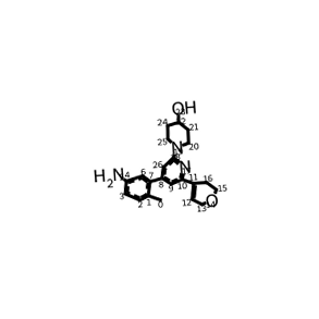 Cc1ccc(N)cc1-c1cc(C2=CCOCC2)nc(N2CCC(O)CC2)c1